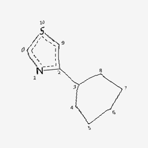 c1nc(C2CCCCC2)cs1